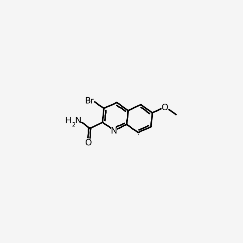 COc1c[c]c2nc(C(N)=O)c(Br)cc2c1